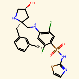 Cc1cccc(C[C@@]2(CNc3cc(F)c(S(=O)(=O)Nc4nccs4)cc3Cl)C[C@H](O)CN2)c1